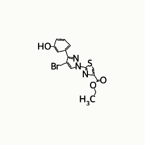 CCOC(=O)c1csc(-n2cc(Br)c(-c3cccc(O)c3)n2)n1